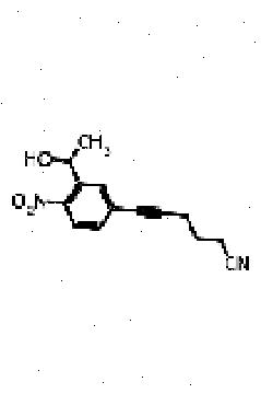 CC(O)c1cc(C#CCCCC#N)ccc1[N+](=O)[O-]